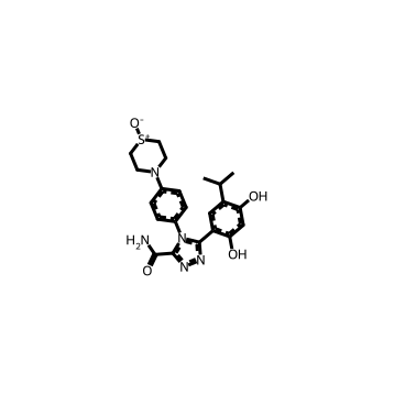 CC(C)c1cc(-c2nnc(C(N)=O)n2-c2ccc(N3CC[S+]([O-])CC3)cc2)c(O)cc1O